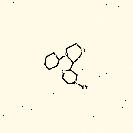 CC(C)N1CCOC(C2[CH]OCCN2C2CCCCC2)C1